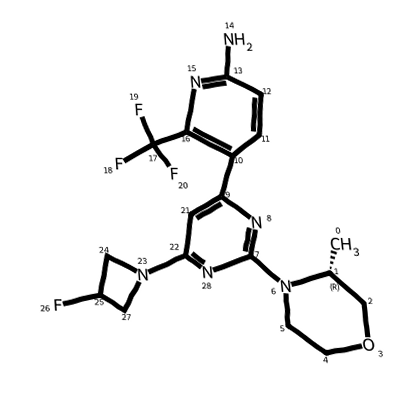 C[C@@H]1COCCN1c1nc(-c2ccc(N)nc2C(F)(F)F)cc(N2CC(F)C2)n1